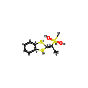 CC(=O)C(=C1Sc2ccccc2S1)S(C)(=O)=O